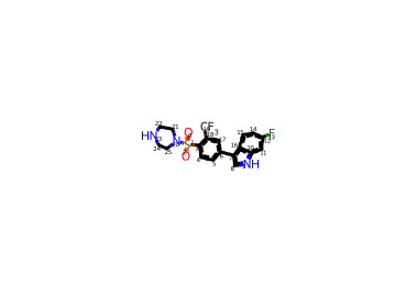 O=S(=O)(c1ccc(-c2c[nH]c3cc(F)ccc23)cc1C(F)(F)F)N1CCNCC1